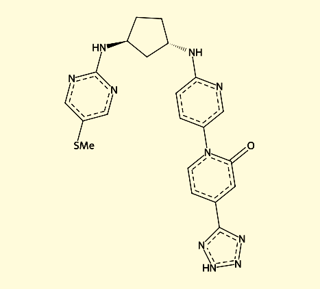 CSc1cnc(N[C@H]2CC[C@H](Nc3ccc(-n4ccc(-c5nn[nH]n5)cc4=O)cn3)C2)nc1